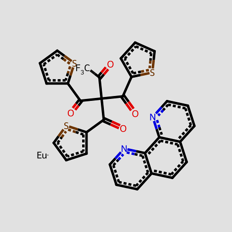 O=C(c1cccs1)C(C(=O)c1cccs1)(C(=O)c1cccs1)C(=O)C(F)(F)F.[Eu].c1cnc2c(c1)ccc1cccnc12